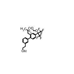 CCCc1cc(C(OCOC)(C(F)(F)F)C(F)(F)F)ccc1-c1cccc(CCO)c1